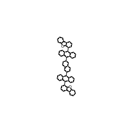 c1ccc2c(c1)oc1c(-c3c4ccccc4c(-c4ccc5cc(-c6c7ccccc7c(-c7cccc8c7oc7ccccc78)c7ccccc67)ccc5c4)c4ccccc34)cccc12